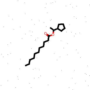 CCCCCCCCC[CH]C(=O)OC(C)C1CCCC1